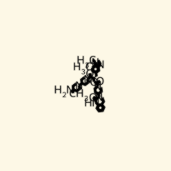 Cc1cc(C[C@@H](OC(=O)N2CCC(N3CCc4ccccc4NC3=O)CC2)C(=O)N2CCC(N3CCC(C)(N)CC3)CC2)cc2ncn(C)c12